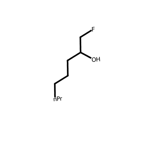 CCCCCCC(O)CF